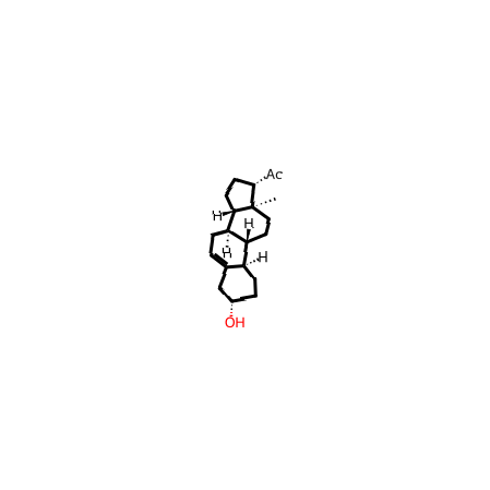 CC(=O)[C@H]1CC[C@H]2[C@@H]3CC=C4C[C@@H](O)CC[C@@H]4[C@H]3CC[C@]12C